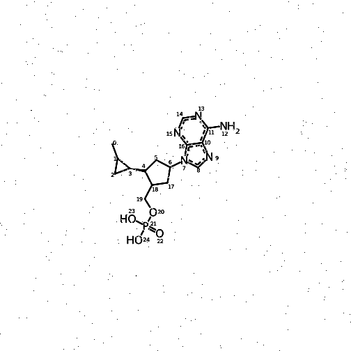 CC1C[C@@H]1C1CC(n2cnc3c(N)ncnc32)CC1COP(=O)(O)O